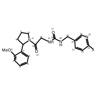 COc1ccccc1C1CCCN1C(=O)CNC(=O)NCc1ccc(C)nc1